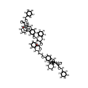 O=C(OC(CCOc1ccc2c(c1)[C@@]13CCCC[C@H]1[C@@H](C2)N(C(=O)OCc1ccccc1)CC3)Cc1ccccc1)OC(CCOc1ccc2c(c1)[C@@]13CCCC[C@H]1[C@@H](C2)N(C(=O)OCc1ccccc1)CC3)Cc1ccccc1